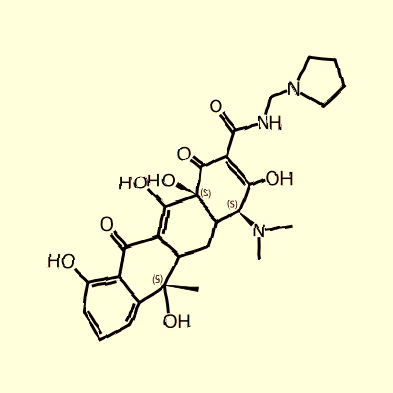 CN(C)[C@@H]1C(O)=C(C(=O)NCN2CCCC2)C(=O)[C@@]2(O)C(O)=C3C(=O)c4c(O)cccc4[C@@](C)(O)C3CC12